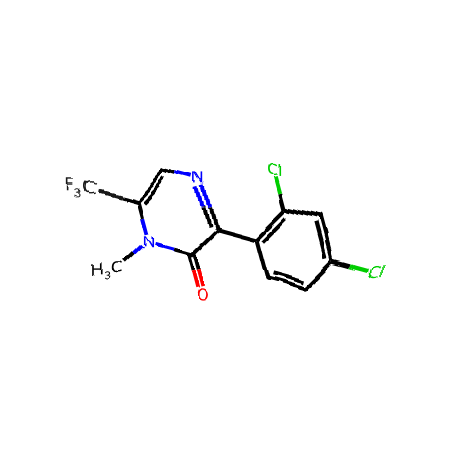 Cn1c(C(F)(F)F)cnc(-c2ccc(Cl)cc2Cl)c1=O